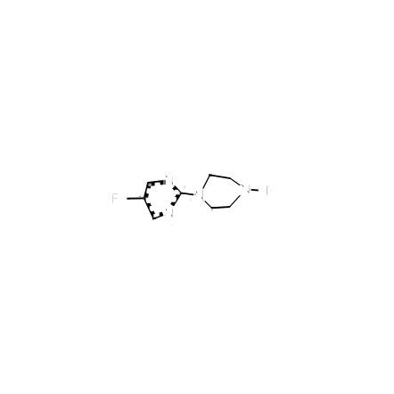 CCc1cnc(N2CCN(C(C)(C)C)CC2)nc1